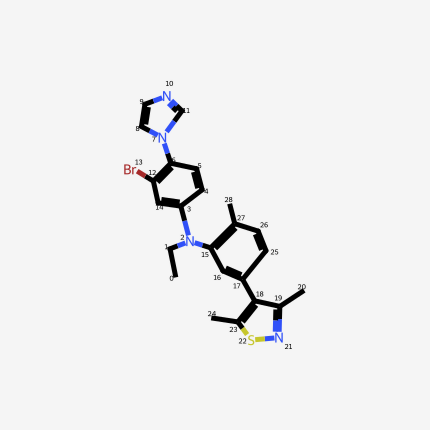 CCN(c1ccc(-n2ccnc2)c(Br)c1)c1cc(-c2c(C)nsc2C)ccc1C